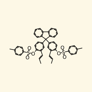 CC=Cc1cc(C2(c3ccc(OS(=O)(=O)c4ccc(C)cc4)c(C=CC)c3)c3ccccc3-c3ccccc32)ccc1OS(=O)(=O)c1ccc(C)cc1